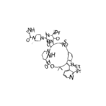 CCn1c(-c2cccnc2C(C)C)c2c3cc(ccc31)-c1csc(n1)C[C@H](NC(=O)[C@H](C(C)C)N(C)C(=O)N1CCN(C(=O)[C@H]3CN3)[C@@H](C)C1)C(=O)N1CCC[C@H](N1)C(=O)OCC(C)(C)C2